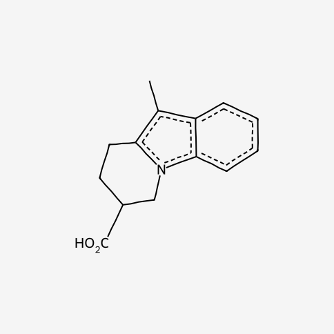 Cc1c2n(c3ccccc13)CC(C(=O)O)CC2